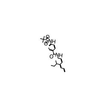 C=C/C=C(\C=C/CNC(=O)C(/C=C\C(=C)NS(=O)(=O)C(C)(C)C)=C/C)C(C)CC